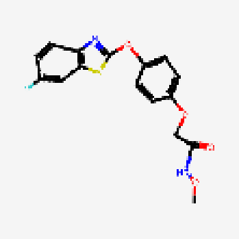 CONC(=O)COc1ccc(Oc2nc3ccc(F)cc3s2)cc1